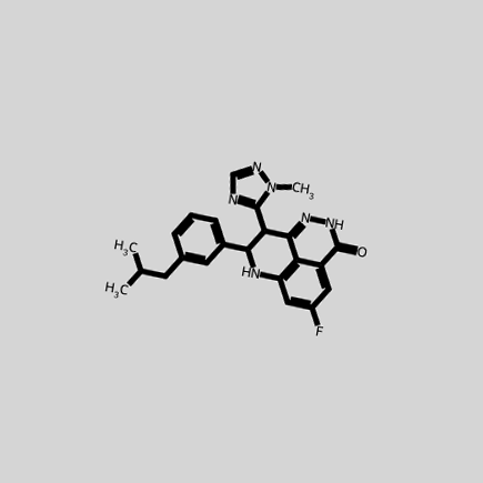 CC(C)Cc1cccc(C2Nc3cc(F)cc4c(=O)[nH]nc(c34)C2c2ncnn2C)c1